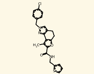 Cc1c(C(=O)NCc2cccs2)oc2c1-c1nn(Cc3ccc(Cl)cc3)cc1CC2